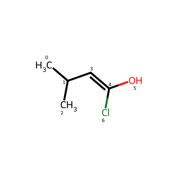 CC(C)C=C(O)Cl